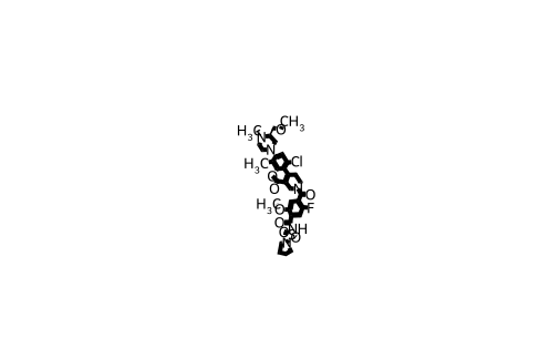 COC[C@H]1CN(c2cc(Cl)c3c4c(c(=O)oc3c2C)CN(C(=O)c2cc(OC)c(C(=O)NS(=O)(=O)N3CCCC3)cc2F)CC4)CCN1C